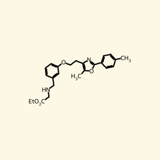 CCOC(=O)CNCc1cccc(OCCc2nc(-c3ccc(C)cc3)oc2C)c1